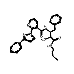 CCCNC(=O)C(O)C(Cc1ccccc1)NC(=O)c1cccnc1-n1ccc(-c2ccccc2)n1